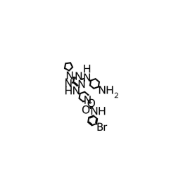 N[C@H]1CC[C@H](Nc2nc(NC3CCN(OC(=O)Nc4cccc(Br)c4)CC3)c3ncn(C4CCCC4)c3n2)CC1